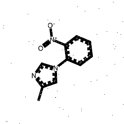 Cc1cn(-c2ccccc2[N+](=O)[O-])cn1